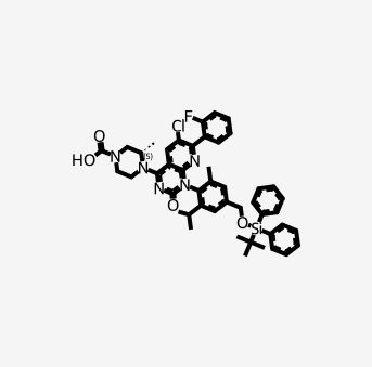 Cc1cc(CO[Si](c2ccccc2)(c2ccccc2)C(C)(C)C)cc(C(C)C)c1-n1c(=O)nc(N2CCN(C(=O)O)C[C@@H]2C)c2cc(Cl)c(-c3ccccc3F)nc21